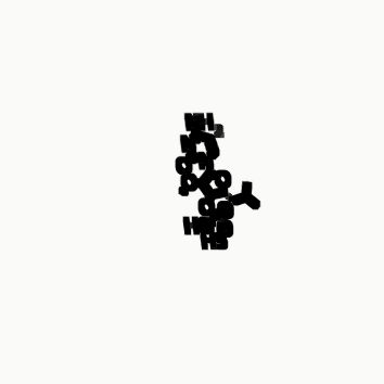 COC1C(OP(=O)(O)OS)[C@@H](CC(C)C)O[C@H]1n1ccc(N)nc1=O